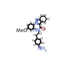 COc1ccc(-n2nc3c(c2C(=O)NCCc2ccc(N)cc2)CCCC3)cc1